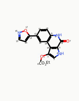 CCOC(=O)Oc1c[nH]c2c(=O)[nH]c3ccc(-c4ccno4)cc3c12